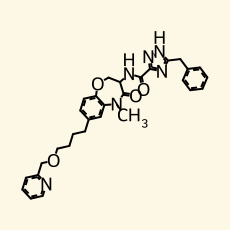 CN1C(=O)C(NC(=O)c2n[nH]c(Cc3ccccc3)n2)COc2ccc(CCCCOCc3ccccn3)cc21